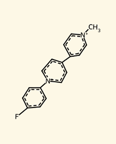 C[n+]1ccc(-c2cc[n+](-c3ccc(F)cc3)cc2)cc1